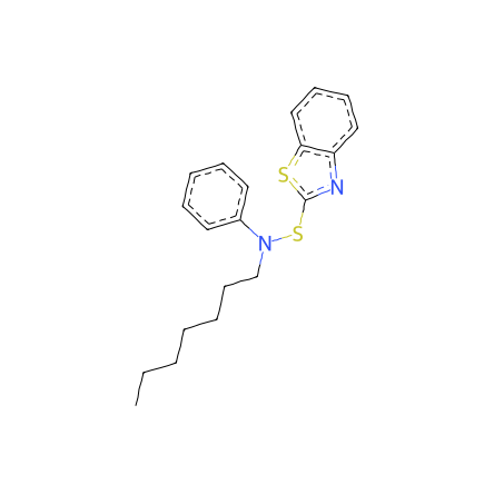 CCCCCCCN(Sc1nc2ccccc2s1)c1ccccc1